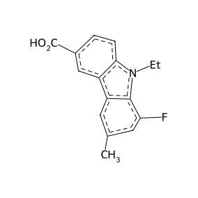 CCn1c2ccc(C(=O)O)cc2c2cc(C)cc(F)c21